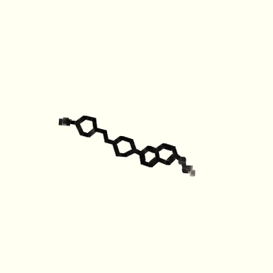 CCCC1CCC(CCC2CCC(c3ccc4cc(OC(F)(F)F)ccc4c3)CC2)CC1